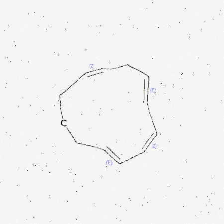 [C]1=C\C=C\CCC/C=C\C/C=C/1